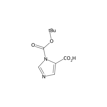 CC(C)(C)OC(=O)n1cncc1C(=O)O